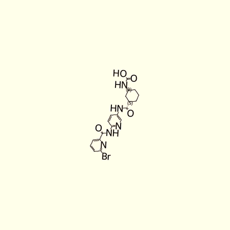 O=C(O)N[C@@H]1CCC[C@H](C(=O)Nc2ccc(NC(=O)c3cccc(Br)n3)nc2)C1